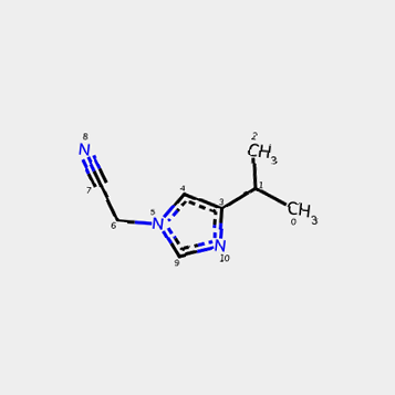 CC(C)c1cn(CC#N)cn1